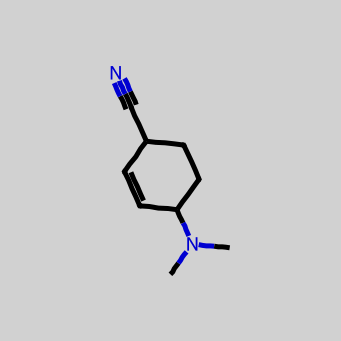 CN(C)C1C=CC(C#N)CC1